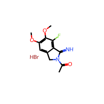 Br.COc1cc2c(c(F)c1OC)C(=N)N(C(C)=O)C2